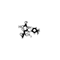 C[C@]1(C(=O)[C@H](C[C@@H]2CCC(F)(F)C2)NC(=O)O)CO1